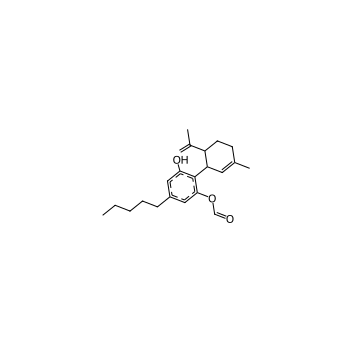 C=C(C)C1CCC(C)=CC1c1c(O)cc(CCCCC)cc1OC=O